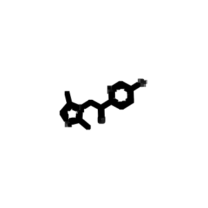 Cc1cnc(C)n1CC(=O)c1ccc(Br)cn1